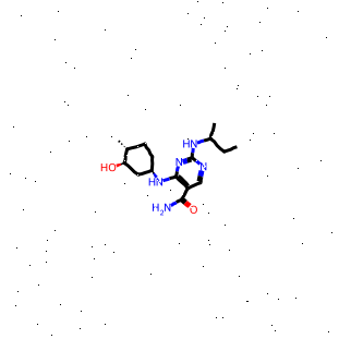 CCC(C)Nc1ncc(C(N)=O)c(N[C@@H]2CC[C@@H](C)[C@H](O)C2)n1